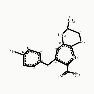 CC1COc2nc(C(N)=O)c(Cc3ccc(F)cc3)cc2N1